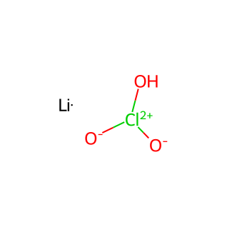 [Li].[O-][Cl+2]([O-])O